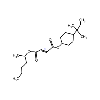 CCCCC(C)OC(=O)/C=C/C(=O)OC1CCC(C(C)(C)CC)CC1